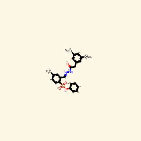 COc1cc(CC(=O)N/N=C/c2cc(C(F)(F)F)ccc2S(=O)(=O)Oc2ccccc2)cc(OC)c1